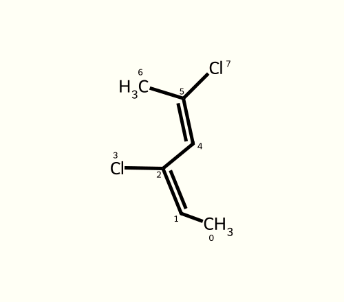 C/C=C(Cl)\C=C(/C)Cl